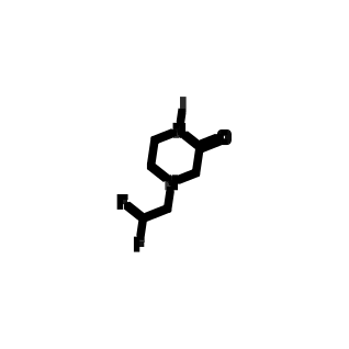 O=C1CN(CC(F)F)CCN1I